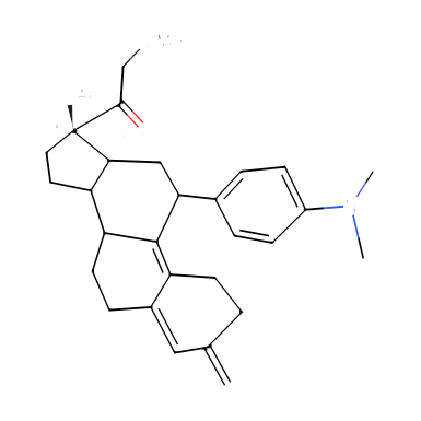 C=C1C=C2CCC3C(=C2CC1)C(c1ccc(N(C)C)cc1)C[C@@]1(C)C3CC[C@]1(OC(C)=O)C(=O)COC